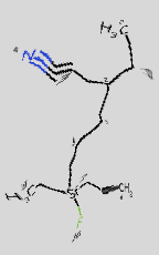 CCC(C#N)CC[Si](C)(C)F